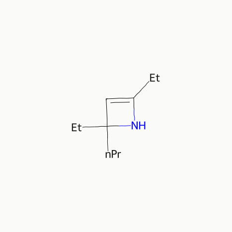 CCCC1(CC)C=C(CC)N1